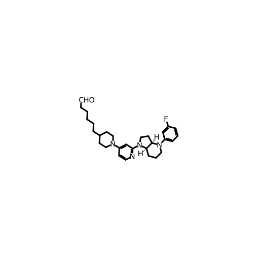 O=CCCCCCC1CCN(c2ccnc(N3CC[C@@H]4[C@H]3CCCN4c3cccc(F)c3)c2)CC1